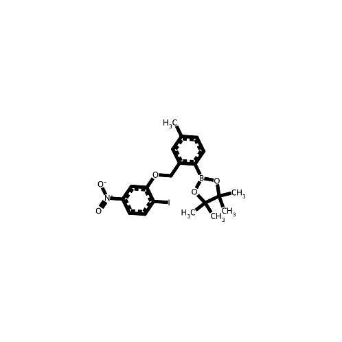 Cc1ccc(B2OC(C)(C)C(C)(C)O2)c(COc2cc([N+](=O)[O-])ccc2I)c1